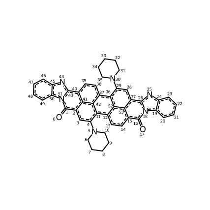 O=c1c2cc(N3CCCCC3)c3c4ccc5c(=O)n6c7ccccc7nc6c6cc(N7CCCCC7)c(c7ccc(c2c73)c2nc3ccccc3n12)c4c56